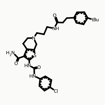 CC(C)(C)c1ccc(CCC(=O)NCCCN2CCc3c(sc(NC(=O)Nc4ccc(Cl)cc4)c3C(N)=O)C2)cc1